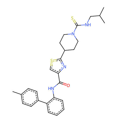 Cc1ccc(-c2ccccc2NC(=O)c2csc(C3CCN(C(=S)NCC(C)C)CC3)n2)cc1